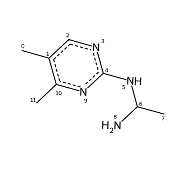 Cc1cnc(NC(C)N)nc1C